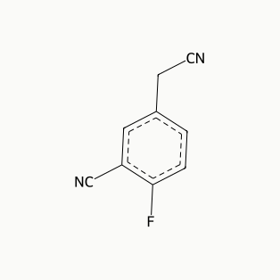 N#CCc1ccc(F)c(C#N)c1